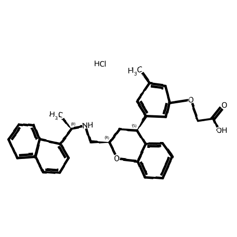 Cc1cc(OCC(=O)O)cc([C@@H]2C[C@H](CN[C@H](C)c3cccc4ccccc34)Oc3ccccc32)c1.Cl